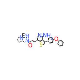 CCN1CCCC1CNC(=O)C=Cc1cnc(N)c2c(-c3ccc(Oc4ccccc4)cc3)csc12